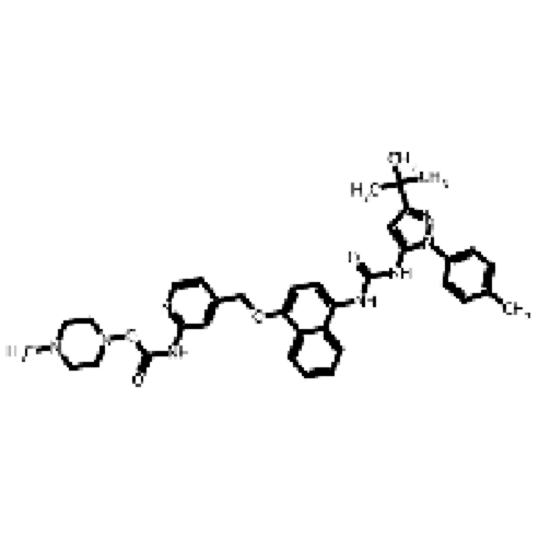 Cc1ccc(-n2nc(C(C)(C)C)cc2NC(=O)Nc2ccc(OCc3ccnc(NC(=O)ON4CCN(C)CC4)c3)c3ccccc23)cc1